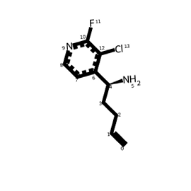 C=CCC[C@H](N)c1ccnc(F)c1Cl